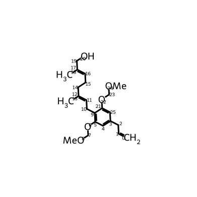 C=CCc1cc(OCOC)c(C/C=C(\C)CC/C=C(\C)CO)c(OCOC)c1